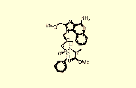 CCOCc1nc2c(N)nc3ccccc3c2n1C[C@@H](C)O[P@@](=O)(N[C@@H](C)C(=O)OC)Oc1ccccc1